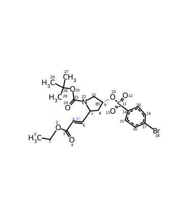 CCOC(=O)/C=C/C1C[C@@H](OS(=O)(=O)c2ccc(Br)cc2)CN1C(=O)OC(C)(C)C